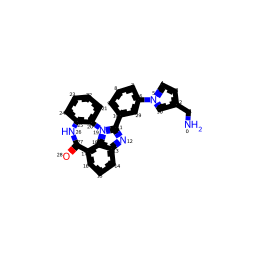 NCc1ccn(-c2cccc(-c3nc4cccc5c4n3-c3ccccc3NC5=O)c2)c1